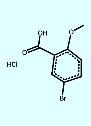 COc1ccc(Br)cc1C(=O)O.Cl